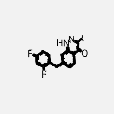 O=c1c(I)n[nH]c2cc(Cc3ccc(F)cc3F)ccc12